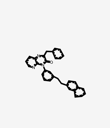 O=c1c(Cc2ccccc2)nc2cccnc2n1-c1cccc(CCc2ccc3ccccc3c2)c1